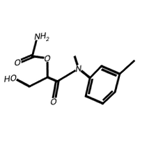 Cc1cccc(N(C)C(=O)C(CO)OC(N)=O)c1